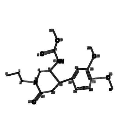 CCCN1CC(NC(=O)OC)C(c2ccc(OC)c(OC)c2)CC1=O